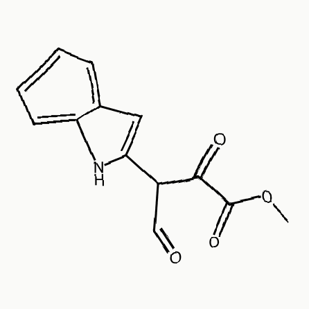 COC(=O)C(=O)C(C=O)c1cc2ccccc2[nH]1